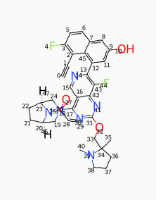 C#Cc1c(F)ccc2cc(O)cc(-c3ncc4c(N5C[C@H]6CC[C@@H](C5)N6C(=O)C=C)nc(OCC5(C)CCCN5C)nc4c3F)c12